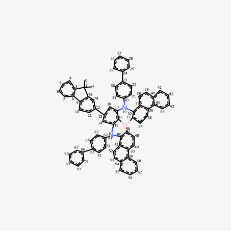 CC1(C)c2ccccc2-c2ccc(-c3cc4c5c(c3)N(c3ccc(-c6ccccc6)cc3)c3c(ccc6c3ccc3ccccc36)B5c3ccc5c(ccc6ccccc65)c3N4c3ccc(-c4ccccc4)cc3)cc21